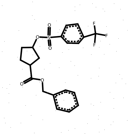 O=C(OCc1ccccc1)C1CCC(OS(=O)(=O)c2ccc(C(F)(F)F)cc2)C1